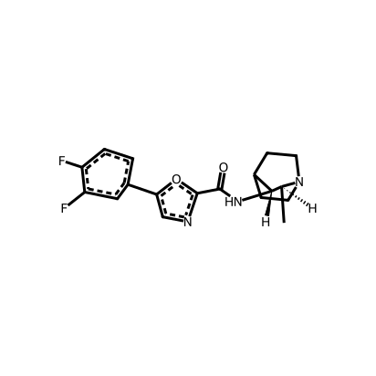 C[C@H]1[C@H](NC(=O)c2ncc(-c3ccc(F)c(F)c3)o2)C2CCN1CC2